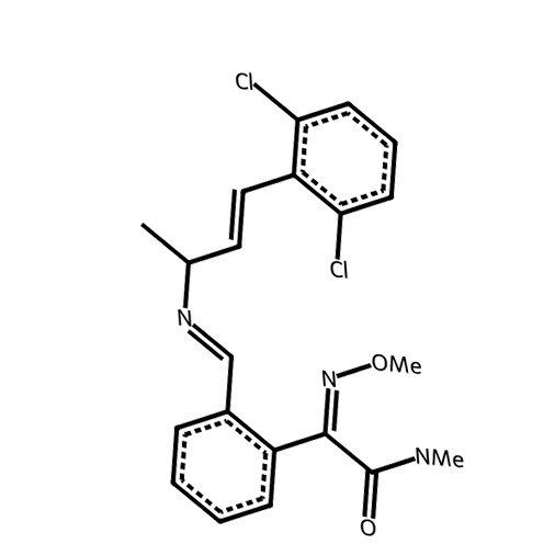 CNC(=O)C(=NOC)c1ccccc1C=NC(C)C=Cc1c(Cl)cccc1Cl